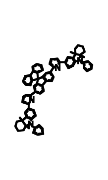 CC12CCCCC1(C)N(c1ccccc1)c1ccc(-c3cccc(-c4ccc5c(c4)C4(c6ccccc6-c6ccccc64)c4cc(-c6cccc(-c7ccc8c(c7)C7(C)CCCCC7(C)N8c7ccccc7)n6)ccc4-5)n3)cc12